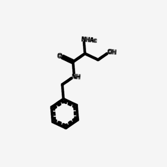 CC(=O)NC(CO)C(=O)NCc1ccccc1